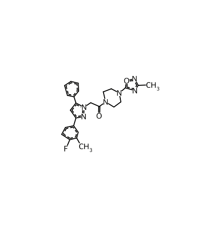 Cc1noc(N2CCN(C(=O)Cn3nc(-c4ccc(F)c(C)c4)cc3-c3ccccc3)CC2)n1